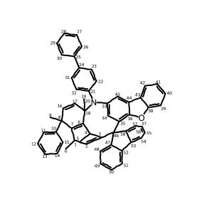 CC1C=C2C(C)C3=C1C(C)(c1ccccc1)C=CC3(C)N(c1ccc(-c3ccccc3)cc1)c1cc(c3oc4ccccc4c3c1)C21c2ccccc2-c2ccccc21